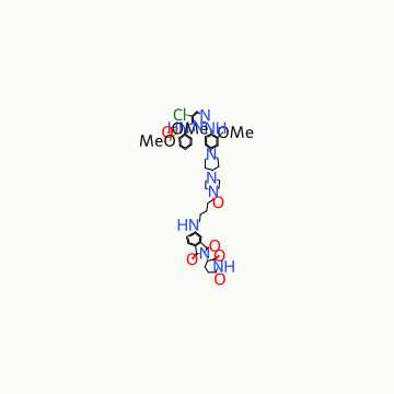 COc1cc(N2CCC(N3CCN(C(=O)CCCCNc4ccc5c(c4)C(=O)N(C4CCC(=O)NC4=O)C5=O)CC3)CC2)ccc1Nc1ncc(Cl)c(Nc2ccccc2P(=O)(OC)OC)n1